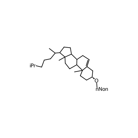 CCCCCCCCCO[C@H]1CCC2(C)C(=CCC3C2CCC2(C)C(C(C)CCCC(C)C)CCC32)C1